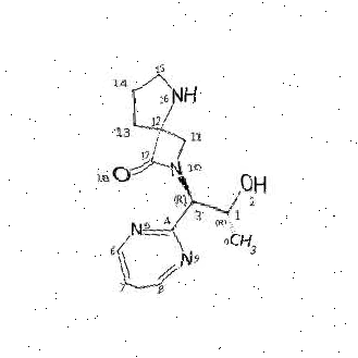 C[C@@H](O)[C@@H](c1ncccn1)N1CC2(CCCN2)C1=O